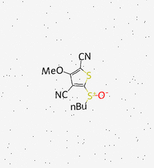 CCCC[S+]([O-])c1sc(C#N)c(OC)c1C#N